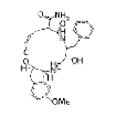 COc1ccc2c(c1)[C@H]1NC[C@@H](O)[C@H](Cc3ccccc3)NC(=O)[C@H](C(N)=O)C/C=C\CO[C@@H]1C2